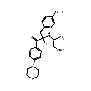 CCCCCCCCCCCC(C)NC(CC)(Cc1ccc(C(=O)O)cc1)C(=O)c1ccc(N2CCOCC2)cc1